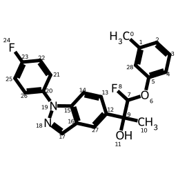 Cc1cccc(OC(F)C(C)(O)c2ccc3c(cnn3-c3ccc(F)cc3)c2)c1